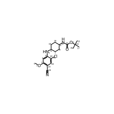 COc1cc(NC2CCC(NC(=O)OC(C)(C)C)CC2)c(Cl)cc1C#N